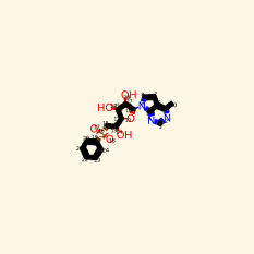 Cc1ncnc2c1ccn2[C@@H]1O[C@H]([C@@H](O)CS(=O)(=O)c2ccccc2)[C@@H](O)[C@H]1O